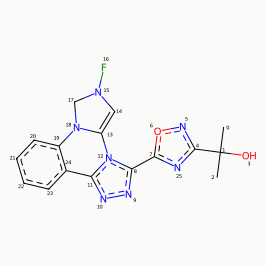 CC(C)(O)c1noc(-c2nnc3n2C2=CN(F)CN2c2ccccc2-3)n1